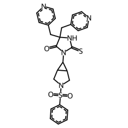 O=C1N(C2C3CN(S(=O)(=O)c4ccccc4)CC32)C(=S)NC1(Cc1ccncc1)Cc1ccncc1